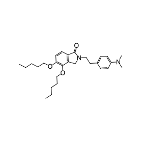 CCCCCOc1ccc2c(c1OCCCCC)CN(CCc1ccc(N(C)C)cc1)C2=O